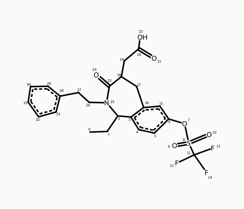 CCC1c2ccc(OS(=O)(=O)C(F)(F)F)cc2CC(CC(=O)O)C(=O)N1CCc1ccccc1